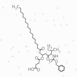 CCCCCCCCCCCCCCCCCC(=O)CC(CC(=O)[C@@H](NC(=O)OCc1ccccc1)C(C)C)OC(=O)CCC(=O)O